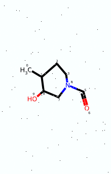 CC1CCN(C=O)CC1O